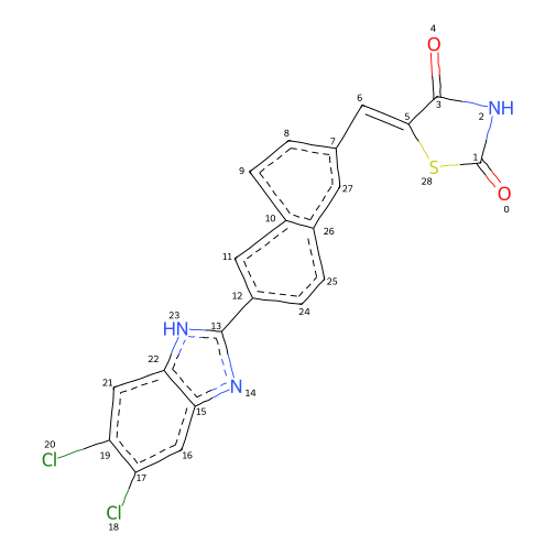 O=C1NC(=O)C(=Cc2ccc3cc(-c4nc5cc(Cl)c(Cl)cc5[nH]4)ccc3c2)S1